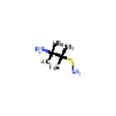 CC(C)(N)C(C)(C)SN